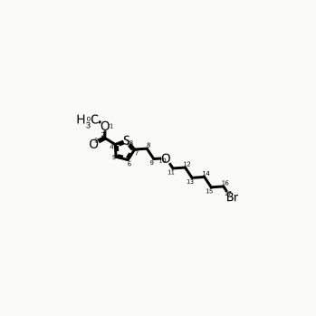 COC(=O)c1ccc(CCOCCCCCCBr)s1